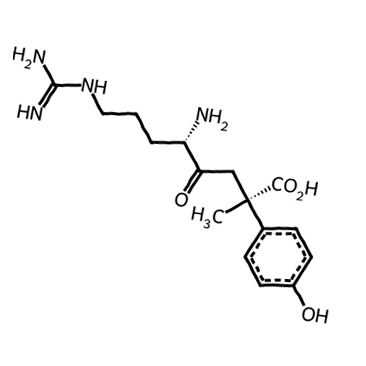 C[C@](CC(=O)[C@@H](N)CCCNC(=N)N)(C(=O)O)c1ccc(O)cc1